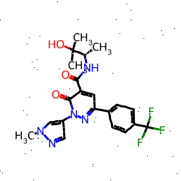 C[C@@H](NC(=O)c1cc(-c2ccc(C(F)(F)F)cc2)nn(-c2cnn(C)c2)c1=O)C(C)(C)O